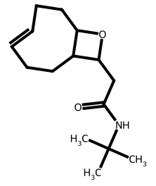 CC(C)(C)NC(=O)CC1OC2CC/C=C/CCC21